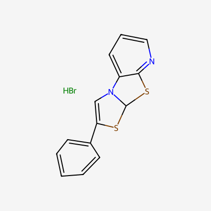 Br.C1=C(c2ccccc2)SC2Sc3ncccc3N12